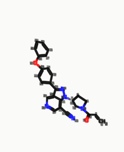 C=CC(=O)N1CC[C@@H](n2nc(-c3ccc(Oc4ccccc4)cc3)c3cncc(C#N)c32)C1